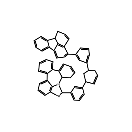 C1=CCC2C(=C1)c1ccccc1-c1cccc3c1N2C(c1cccc(C2C=CCC(c4cccc(-c5ccc6c7c5C=CCC7c5ccccc5-6)c4)C2)c1)N3